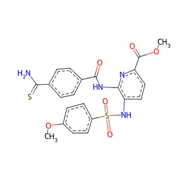 COC(=O)c1ccc(NS(=O)(=O)c2ccc(OC)cc2)c(NC(=O)c2ccc(C(N)=S)cc2)n1